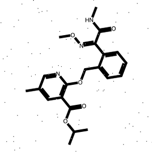 CNC(=O)/C(=N\OC)c1ccccc1COc1ncc(C)cc1C(=O)OC(C)C